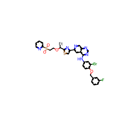 CCC(OCCS(=O)(=O)c1ccccn1)c1nc(-c2cc3c(Nc4ccc(OCc5cccc(F)c5)c(Br)c4)ncnc3cn2)cs1